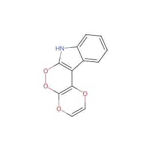 c1ccc2c(c1)[nH]c1ooc3occoc=3c12